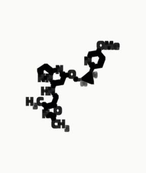 COc1ccc([C@H]2C[C@@H]2COc2cc(NCc3oc(C)nc3C)n3nccc3n2)nc1